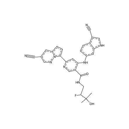 CC(C)(O)C(F)CNC(=O)c1cnc(-c2ccc3cc(C#N)cnn23)cc1Nc1ccc2c(C#N)c[nH]c2c1